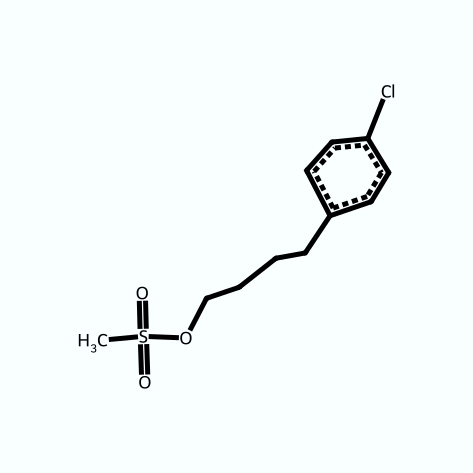 CS(=O)(=O)OCCCCc1ccc(Cl)cc1